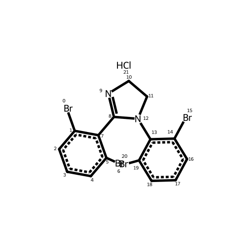 Brc1cccc(Br)c1C1=NCCN1c1c(Br)cccc1Br.Cl